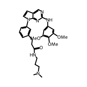 COc1cc(Nc2ncc3ccn(-c4cccc(CCC(=O)NCCCN(C)C)c4)c3n2)cc(OC)c1OC